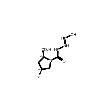 O=C(O)[C@@H]1C[C@H](S)CN1C(=O)PNBO